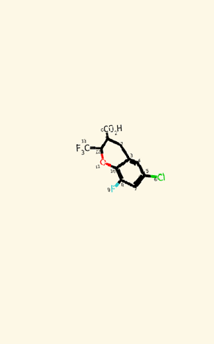 O=C(O)C1Cc2cc(Cl)cc(F)c2OC1C(F)(F)F